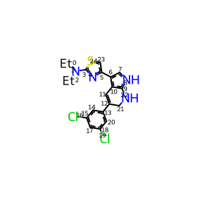 CCN(CC)c1nc(-c2c[nH]c3c2C=C(c2cc(Cl)cc(Cl)c2)CN3)cs1